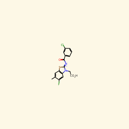 Cc1cc2s/c(=N\C(=O)c3cccc(Cl)c3)n(CC(=O)O)c2cc1F